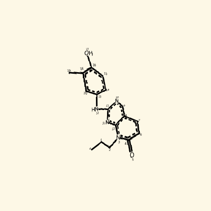 CCCn1c(=O)ccc2cnc(Nc3ccc(O)c(C)c3)nc21